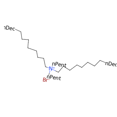 CCCCCCCCCCCCCCCCCC[N+](CCCCC)(CCCCC)CCCCCCCCCCCCCCCCCC.[Br-]